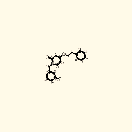 O=c1cc(OCCc2ccccc2)ccn1Cc1cccc(F)c1